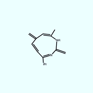 C=c1ccc(C(C)C)nc(=C)[nH]c(C)c1